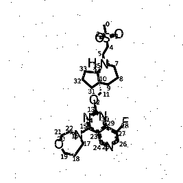 CS(=O)(=O)CCN1CCC[C@@]2(COc3nc(N4CCCOCC4)c4cncc(F)c4n3)CCC[C@@H]12